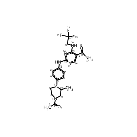 CC(=O)N1CCN(c2ccc(Nc3ncc(C(N)=O)c(NCC(F)(F)F)n3)cc2)C(C)C1